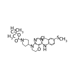 CSc1ccc(Nc2ncnc3c2OCCN3C2CCN(C(=O)OC(C)(C)C)CC2)c(Cl)c1